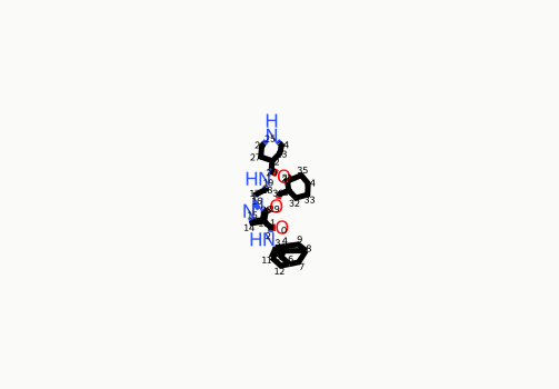 O=C(NC1C2CC3CC(C2)CC1C3)c1cnn(CCNC(=O)C2CCNCC2)c1OCC1CCCCC1